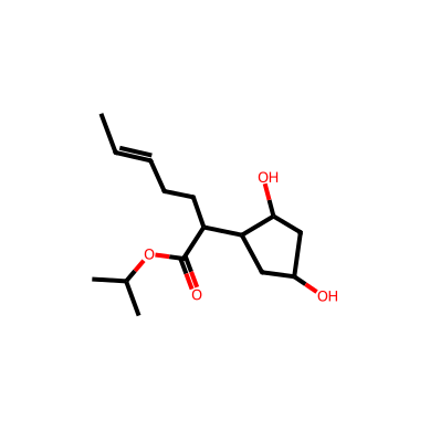 CC=CCCC(C(=O)OC(C)C)C1CC(O)CC1O